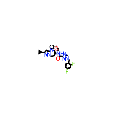 CN1C(=O)[C@H](NC(=O)c2ncn(Cc3ccc(F)cc3F)n2)CCn2nc(C3CC3)cc21